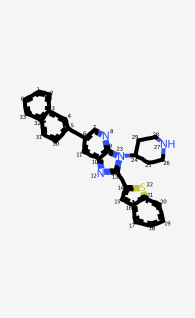 c1ccc2cc(-c3cnc4c(c3)nc(-c3cc5ccccc5s3)n4C3CCNCC3)ccc2c1